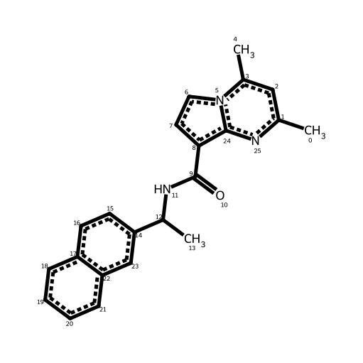 Cc1cc(C)n2ccc(C(=O)NC(C)c3ccc4ccccc4c3)c2n1